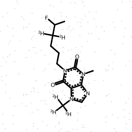 [2H]C([2H])(CCCn1c(=O)c2c(ncn2C([2H])([2H])[2H])n(C)c1=O)C(C)F